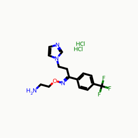 Cl.Cl.NCCON=C(CCn1ccnc1)c1ccc(C(F)(F)F)cc1